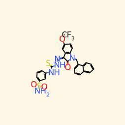 NS(=O)(=O)c1cccc(NC(=S)NN=C2C(=O)N(Cc3cccc4ccccc34)c3ccc(OC(F)(F)F)cc32)c1